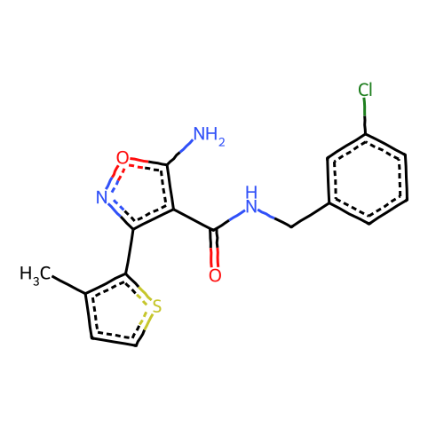 Cc1ccsc1-c1noc(N)c1C(=O)NCc1cccc(Cl)c1